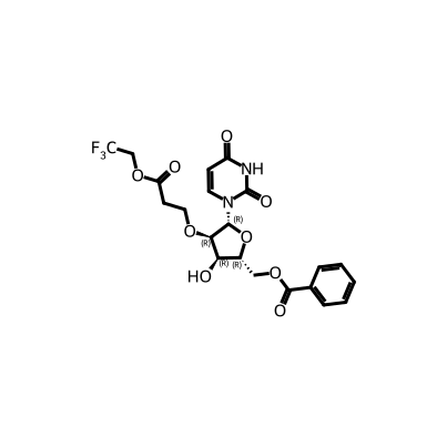 O=C(CCO[C@@H]1[C@H](O)[C@@H](COC(=O)c2ccccc2)O[C@H]1n1ccc(=O)[nH]c1=O)OCC(F)(F)F